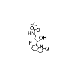 COc1ccc2ccc(F)c(C(CO)CCNC(=O)OC(C)(C)C)c2n1